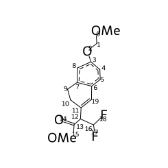 COCOc1ccc2c(c1)CCC(C(C(=O)OC)C(F)F)=C2